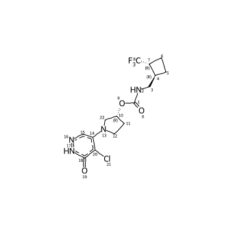 O=C(NC[C@@H]1CC[C@H]1C(F)(F)F)O[C@@H]1CCN(c2cn[nH]c(=O)c2Cl)C1